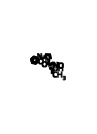 CCCC[C@@H](CN(O)C=O)C(=O)N1CCC[C@@H]1c1nc2ccccc2o1